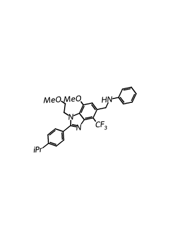 COCCn1c(-c2ccc(C(C)C)cc2)nc2c(C(F)(F)F)c(CNc3ccccc3)cc(OC)c21